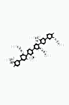 Cc1ccc(-c2ccc(-c3ccc(-c4ccc(-c5ccc(-c6ccc(C)c(S(=O)(=O)O)c6)cc5SOOO)c(S(=O)(=O)O)c4)cc3SOOO)c(S(=O)(=O)O)c2)cc1SOOO